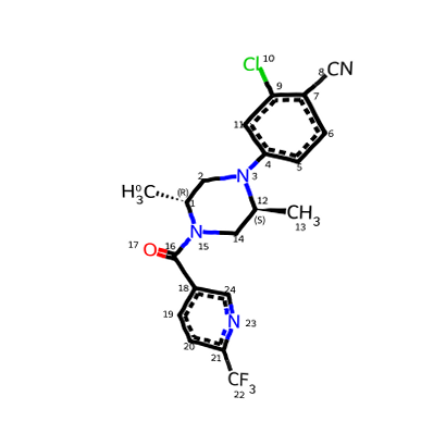 C[C@@H]1CN(c2ccc(C#N)c(Cl)c2)[C@@H](C)CN1C(=O)c1ccc(C(F)(F)F)nc1